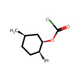 CC(C)[C@H]1CC[C@@H](C)C[C@H]1OC(=O)Cl